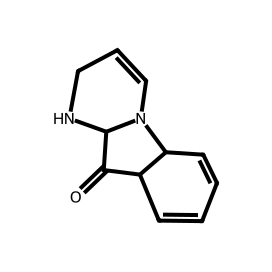 O=C1C2C=CC=CC2N2C=CCNC12